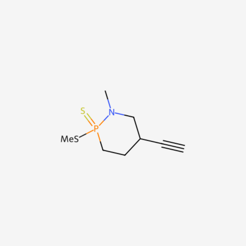 C#CC1CCP(=S)(SC)N(C)C1